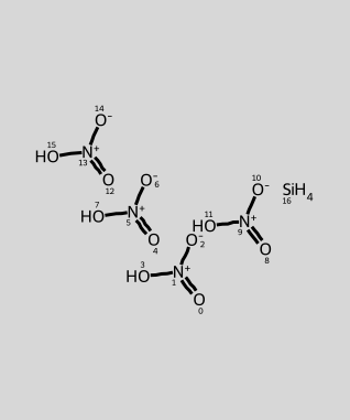 O=[N+]([O-])O.O=[N+]([O-])O.O=[N+]([O-])O.O=[N+]([O-])O.[SiH4]